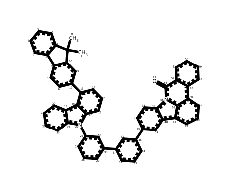 CC1(C)c2ccccc2-c2ccc(-c3cccc4c3c3ccccc3n4-c3cccc(-c4cccc(-c5ccc6c(c5)c5cccc7c8ccccc8c(=O)n6c75)c4)c3)cc21